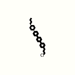 CCCC[C@H]1CC[C@H](c2ccc(-c3ccc(-c4ccc(CCCCl)cc4)cc3)cc2)CC1